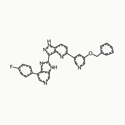 Fc1ccc(-c2cncc3[nH]c(-c4n[nH]c5ccc(-c6cncc(OCc7ccccc7)c6)nc45)nc23)cc1